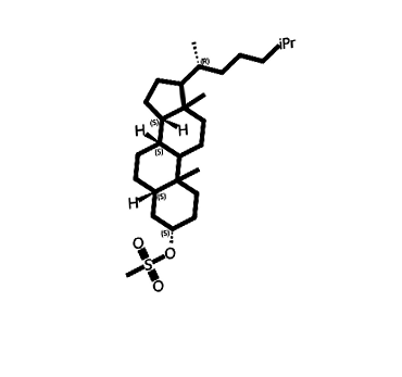 CC(C)CCC[C@@H](C)C1CC[C@H]2[C@H]3CC[C@H]4C[C@@H](OS(C)(=O)=O)CCC4(C)C3CCC12C